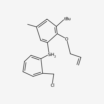 C=CCOc1c([SiH2]c2ccccc2CCl)cc(C)cc1C(C)(C)C